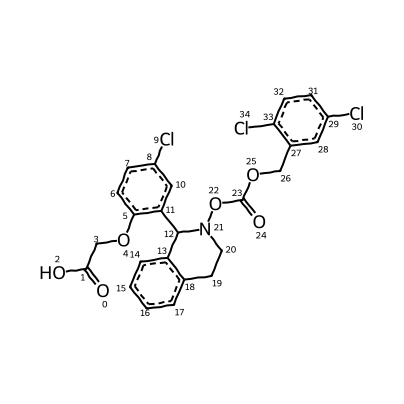 O=C(O)COc1ccc(Cl)cc1C1c2ccccc2CCN1OC(=O)OCc1cc(Cl)ccc1Cl